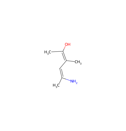 C/C(N)=C/C(C)=C(\C)O